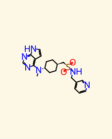 CN(c1ncnc2[nH]ccc12)[C@H]1CC[C@H](CS(=O)(=O)NCc2cccnc2)CC1